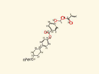 C=CC(=O)OCOc1ccc(C(=O)Oc2ccc(C3CCC(CCCCC)CC3)cc2)cc1